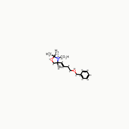 CC1(C)OCC(C=CCCOCc2ccccc2)(C(C)(C)C)N1C(=O)O